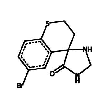 O=C1NCNC12CCSc1ccc(Br)cc12